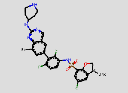 CCc1cc(-c2c(F)ccc(NS(=O)(=O)c3cc(Cl)cc4c3OC[C@H]4OC(C)=O)c2F)cc2cnc(NC3CCNCC3)nc12